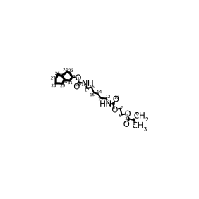 C=C(C)C(=O)OCCOC(=O)NCCCCCCNC(=O)Oc1ccc2ccccc2c1